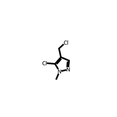 Cn1ncc(CCl)c1Cl